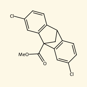 COC(=O)C12CC(c3ccc(Cl)cc31)c1ccc(Cl)cc12